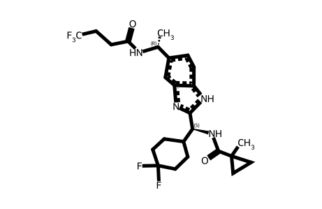 C[C@@H](NC(=O)CCC(F)(F)F)c1ccc2[nH]c([C@@H](NC(=O)C3(C)CC3)C3CCC(F)(F)CC3)nc2c1